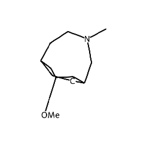 COC1CC2CCC(C1)CN(C)CC2